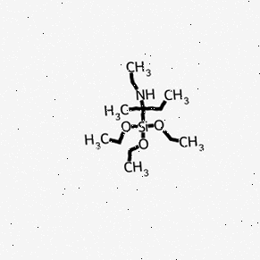 CCNC(C)(CC)[Si](OCC)(OCC)OCC